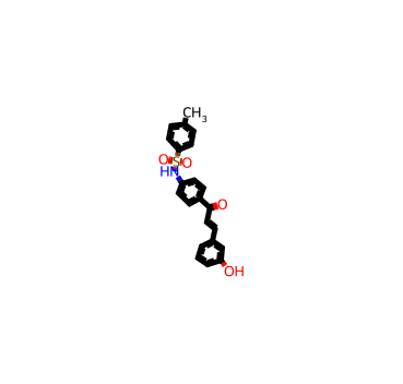 Cc1ccc(S(=O)(=O)Nc2ccc(C(=O)C=Cc3cccc(O)c3)cc2)cc1